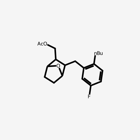 CCCCc1ccc(F)cc1CC1C2CCC(O2)C1COC(C)=O